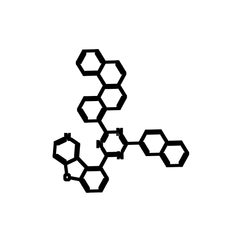 c1ccc2cc(-c3nc(-c4cccc5c4ccc4ccc6ccccc6c45)nc(-c4cccc5oc6ccncc6c45)n3)ccc2c1